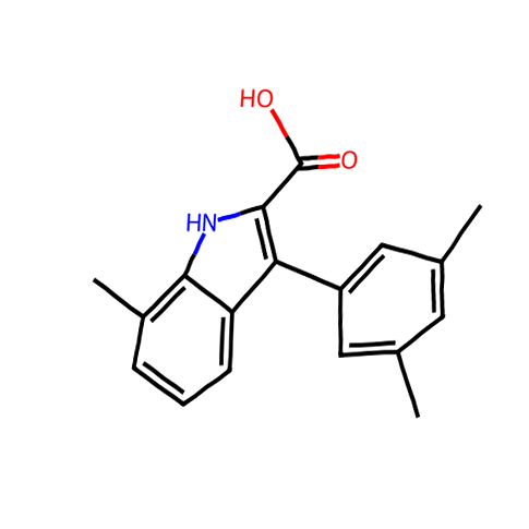 Cc1cc(C)cc(-c2c(C(=O)O)[nH]c3c(C)cccc23)c1